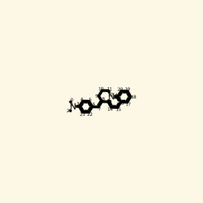 CN(C)c1ccc(/C=C2\CCC[n+]3c2ccc2ccccc23)cc1